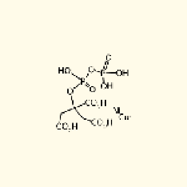 O=C(O)CC(CC(=O)O)(OP(=O)(O)OP(=O)(O)O)C(=O)O.[Cu].[Ni]